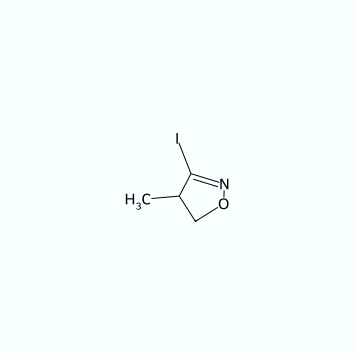 CC1CON=C1I